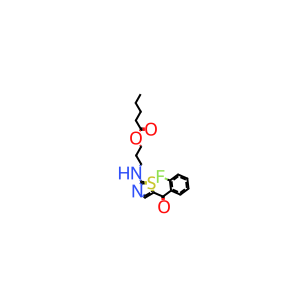 CCCCC(=O)OCCCNc1ncc(C(=O)c2ccccc2F)s1